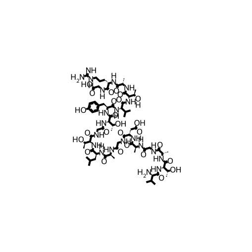 CC(C)C[C@H](NC(=O)[C@H](C)NC(=O)CNC(=O)[C@H](CC(=O)O)NC(=O)[C@H](C)NC(=O)CNC(=O)[C@H](C)NC(=O)[C@@H](NC(=O)[C@@H](N)C(C)C)[C@@H](C)O)C(=O)N[C@H](C(=O)NCC(=O)N[C@H](C(=O)N[C@@H](Cc1ccc(O)cc1)C(=O)N[C@H](C(=O)N[C@H](C(=O)N[C@@H](C)C(=O)N[C@@H](CCCNC(=N)N)C(=O)NCC(=O)O)[C@@H](C)O)C(C)C)[C@@H](C)O)[C@@H](C)O